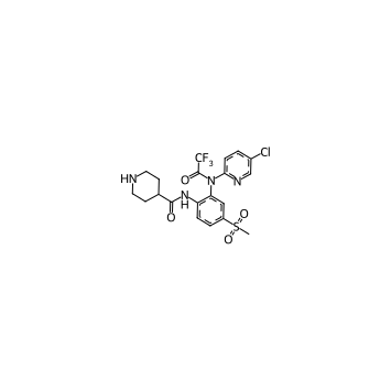 CS(=O)(=O)c1ccc(NC(=O)C2CCNCC2)c(N(C(=O)C(F)(F)F)c2ccc(Cl)cn2)c1